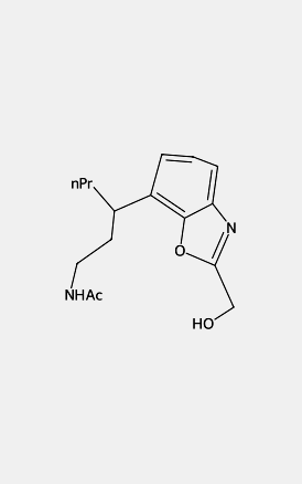 CCCC(CCNC(C)=O)c1cccc2nc(CO)oc12